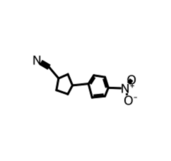 N#CC1CCC(c2ccc([N+](=O)[O-])cc2)C1